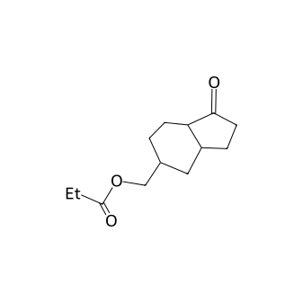 CCC(=O)OCC1CCC2C(=O)CCC2C1